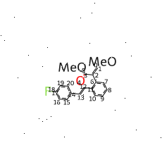 CO/C=C(\C(=O)OC)c1ccccc1/C=C/c1ccc(F)cc1